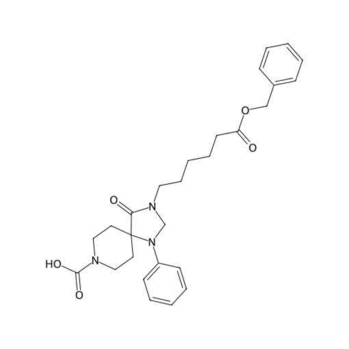 O=C(CCCCCN1CN(c2ccccc2)C2(CCN(C(=O)O)CC2)C1=O)OCc1ccccc1